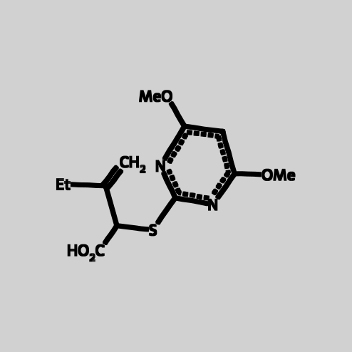 C=C(CC)C(Sc1nc(OC)cc(OC)n1)C(=O)O